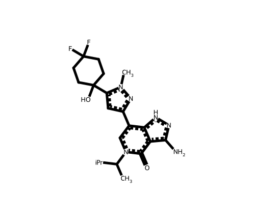 CC(C)C(C)n1cc(-c2cc(C3(O)CCC(F)(F)CC3)n(C)n2)c2[nH]nc(N)c2c1=O